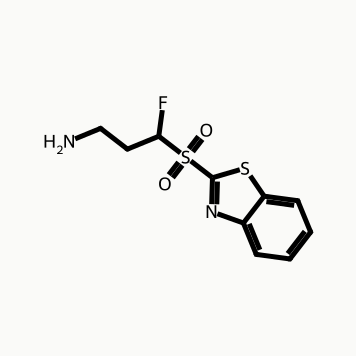 NCCC(F)S(=O)(=O)c1nc2ccccc2s1